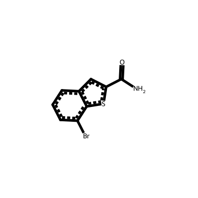 NC(=O)c1cc2cccc(Br)c2s1